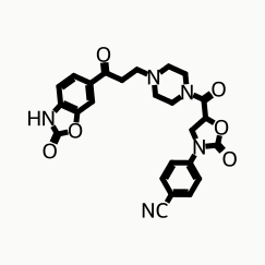 N#Cc1ccc(N2CC(C(=O)N3CCN(CCC(=O)c4ccc5[nH]c(=O)oc5c4)CC3)OC2=O)cc1